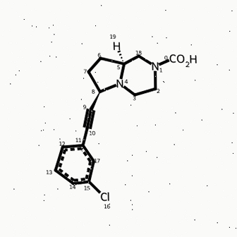 O=C(O)N1CCN2[C@@H](CC[C@@H]2C#Cc2cccc(Cl)c2)C1